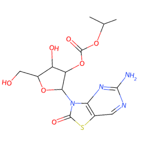 CC(C)OC(=O)OC1C(O)C(CO)OC1n1c(=O)sc2cnc(N)nc21